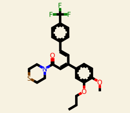 CCCOc1cc(C(C=Cc2ccc(C(F)(F)F)cc2)=CC(=O)N2CCSCC2)ccc1OC